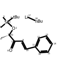 C[C@H](O[Si](C)(C)C(C)(C)C)C(=O)C=Cc1ccccc1.[Li][CH2]CCC